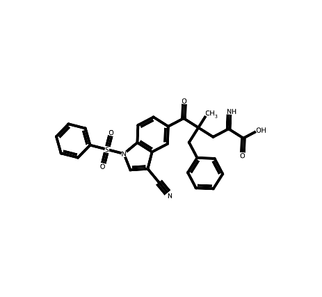 CC(CC(=N)C(=O)O)(Cc1ccccc1)C(=O)c1ccc2c(c1)c(C#N)cn2S(=O)(=O)c1ccccc1